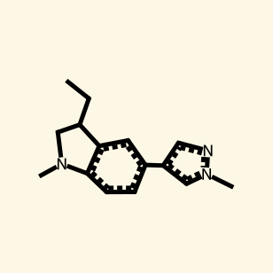 CCC1CN(C)c2ccc(-c3cnn(C)c3)cc21